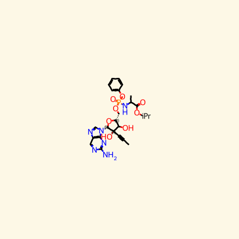 CC#C[C@@]1(O)C(O)[C@@H](COP(=O)(NC(C)C(=O)OC(C)C)Oc2ccccc2)O[C@H]1n1cnc2cnc(N)nc21